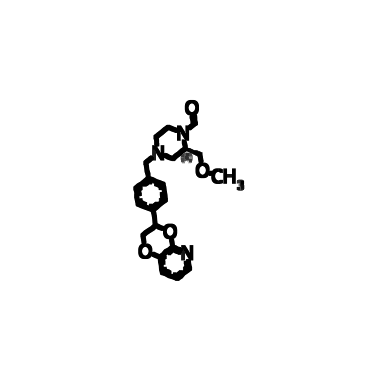 COC[C@H]1CN(Cc2ccc(C3COc4cccnc4O3)cc2)CCN1C=O